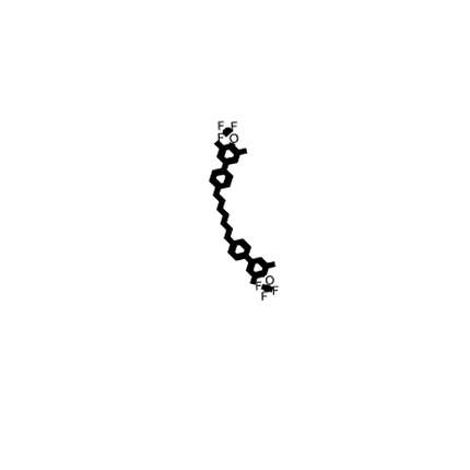 Cc1cc(-c2ccc(CCCCCCCc3ccc(-c4cc(C)c(OC(F)(F)F)c(C)c4)cc3)cc2)cc(C)c1OC(F)(F)F